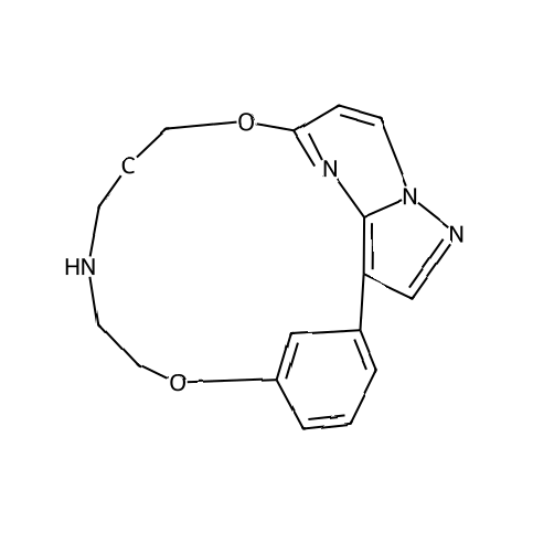 c1cc2cc(c1)-c1cnn3ccc(nc13)OCCCNCCO2